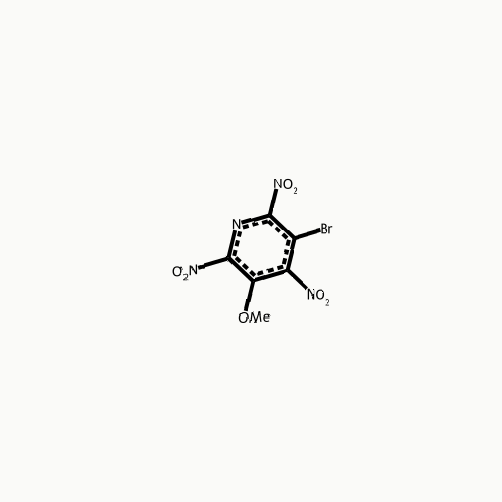 COc1c([N+](=O)[O-])nc([N+](=O)[O-])c(Br)c1[N+](=O)[O-]